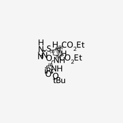 CCOC(=O)[C@H]1[C@H]2[C@@H]1[C@](NC(=O)[C@H](CC(C)C)NC(=O)OC(C)(C)C)(C(=O)OCC)C[C@@H]2Sc1nnc[nH]1